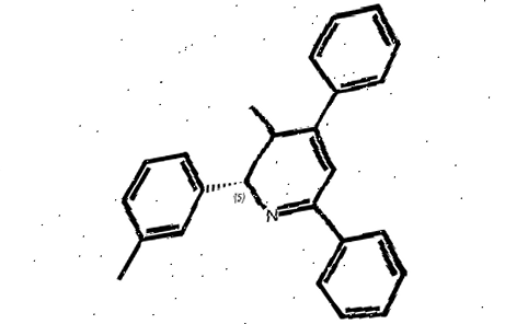 Cc1cccc([C@H]2N=C(c3ccccc3)C=C(c3ccccc3)C2C)c1